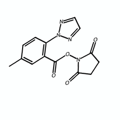 Cc1ccc(-n2nccn2)c(C(=O)ON2C(=O)CCC2=O)c1